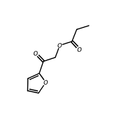 CCC(=O)OCC(=O)c1ccco1